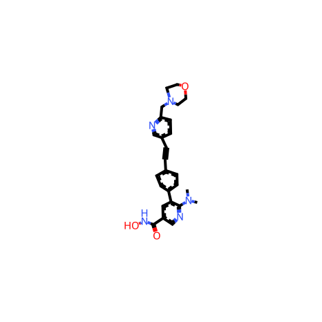 CN(C)c1ncc(C(=O)NO)cc1-c1ccc(C#Cc2ccc(CN3CCOCC3)nc2)cc1